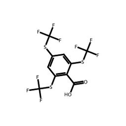 O=C(O)c1c(SC(F)(F)F)cc(SC(F)(F)F)cc1SC(F)(F)F